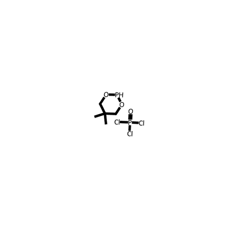 CC1(C)COPOC1.O=P(Cl)(Cl)Cl